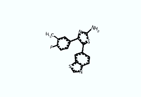 Cc1cc(-c2nc(N)sc2-c2ccc3ncsc3c2)ccc1F